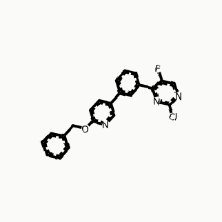 Fc1cnc(Cl)nc1-c1cccc(-c2ccc(OCc3ccccc3)nc2)c1